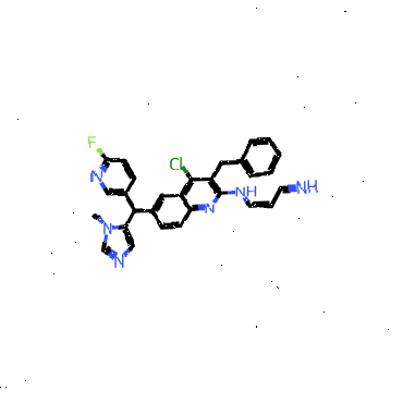 Cn1cncc1C(c1ccc(F)nc1)c1ccc2nc(N/C=C\C=N)c(Cc3ccccc3)c(Cl)c2c1